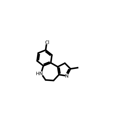 CC1=NC2=C(C1)c1cc(Cl)ccc1NCC2